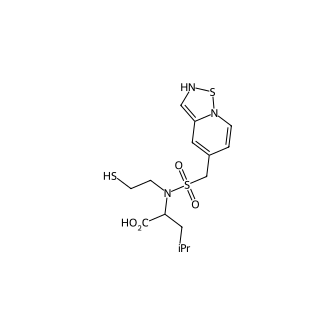 CC(C)CC(C(=O)O)N(CCS)S(=O)(=O)CC1=CC2=CNSN2C=C1